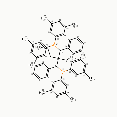 CCCC(CC)(C(c1ccccc1)P(c1cc(C)cc(C)c1)c1cc(C)cc(C)c1)C(c1ccccc1)P(c1cc(C)cc(C)c1)c1cc(C)cc(C)c1